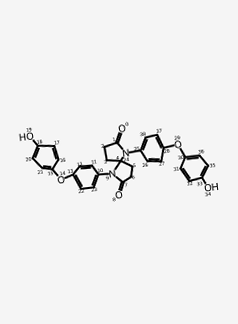 O=C1CCC2(CCC(=O)N2c2ccc(Oc3ccc(O)cc3)cc2)N1c1ccc(Oc2ccc(O)cc2)cc1